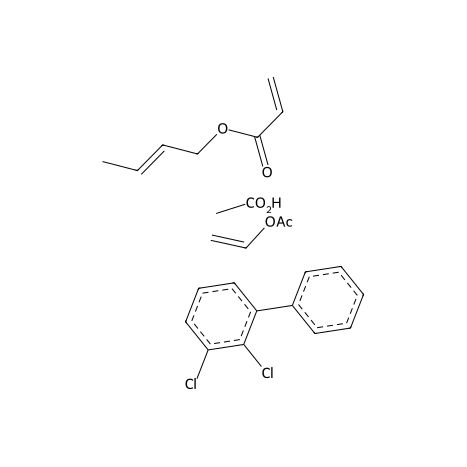 C=CC(=O)OCC=CC.C=COC(C)=O.CC(=O)O.Clc1cccc(-c2ccccc2)c1Cl